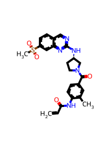 C=CC(=O)Nc1ccc(C(=O)N2CC[C@H](Nc3ncc4ccc(S(C)(=O)=O)cc4n3)C2)cc1C